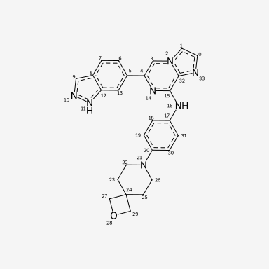 c1cn2cc(-c3ccc4cn[nH]c4c3)nc(Nc3ccc(N4CCC5(CC4)COC5)cc3)c2n1